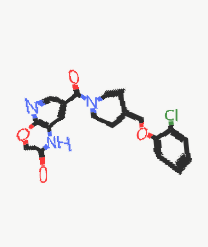 O=C1COc2ncc(C(=O)N3CCC(COc4ccccc4Cl)CC3)cc2N1